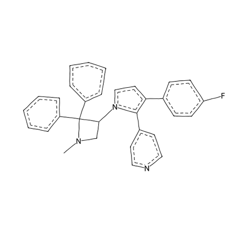 CN1CC(n2ccc(-c3ccc(F)cc3)c2-c2ccncc2)C1(c1ccccc1)c1ccccc1